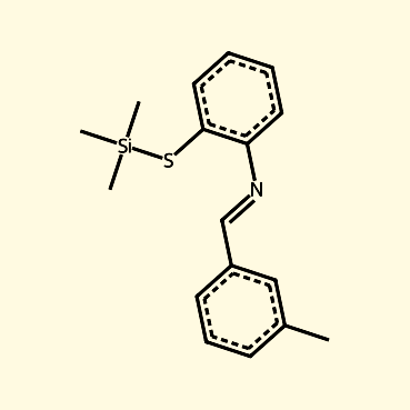 Cc1cccc(C=Nc2ccccc2S[Si](C)(C)C)c1